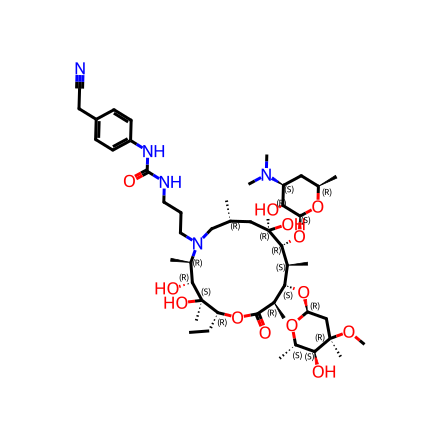 CC[C@H]1OC(=O)[C@H](C)[C@@H](O[C@H]2C[C@@](C)(OC)[C@@H](O)[C@H](C)O2)[C@H](C)[C@@H](O[C@@H]2O[C@H](C)C[C@H](N(C)C)[C@H]2O)[C@](C)(O)C[C@@H](C)CN(CCCNC(=O)Nc2ccc(CC#N)cc2)[C@H](C)[C@@H](O)[C@]1(C)O